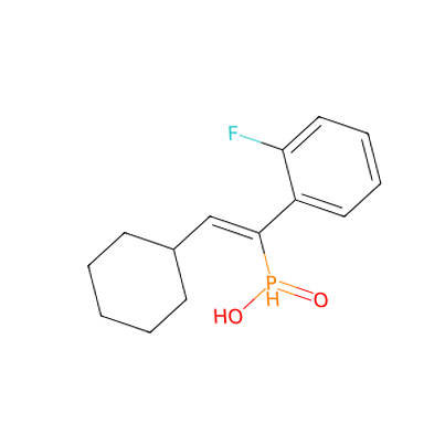 O=[PH](O)C(=CC1CCCCC1)c1ccccc1F